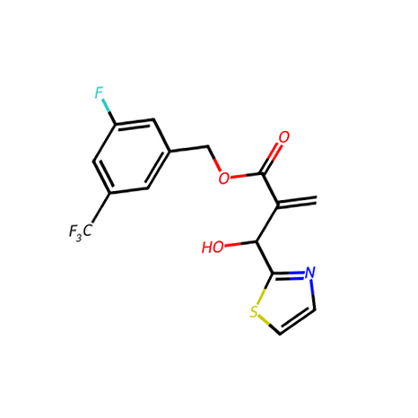 C=C(C(=O)OCc1cc(F)cc(C(F)(F)F)c1)C(O)c1nccs1